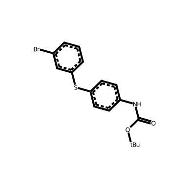 CC(C)(C)OC(=O)Nc1ccc(Sc2cccc(Br)c2)cc1